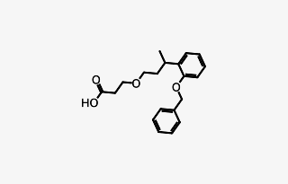 CC(CCOCCC(=O)O)c1ccccc1OCc1ccccc1